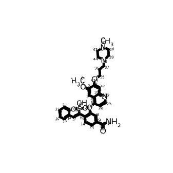 COc1cc2c(Oc3cc(C(N)=O)ccc3C(=Cc3ccccc3)S(=O)(=O)O)ccnc2cc1OCCCN1CCN(C)CC1